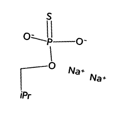 CC(C)COP([O-])([O-])=S.[Na+].[Na+]